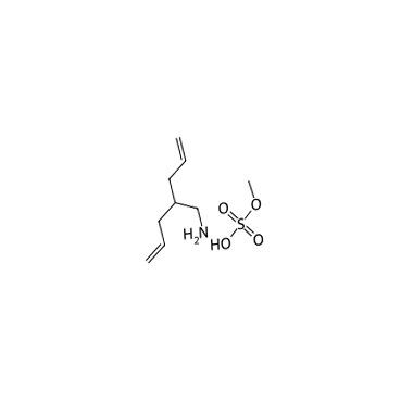 C=CCC(CN)CC=C.COS(=O)(=O)O